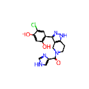 O=C(c1c[nH]cn1)N1CCc2[nH]nc(-c3cc(Cl)c(O)cc3O)c2C1